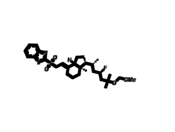 COCOC(C)(C)C[C@H](F)C[C@@H](C)[C@H]1CC[C@H]2/C(=C/CS(=O)(=O)c3nc4ccccc4s3)CCC[C@]12C